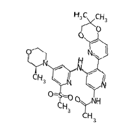 CC(=O)Nc1cc(Nc2cc(N3CCOC[C@@H]3C)cc(S(C)(=O)=O)n2)c(-c2ccc3c(n2)OCC(C)(C)O3)cn1